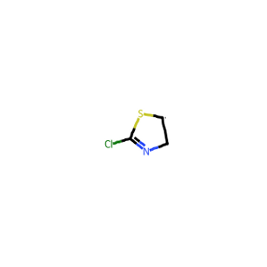 ClC1=NC[CH]S1